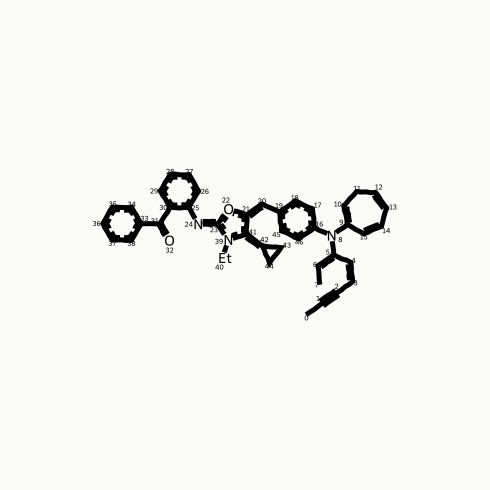 CC#C/C=C\C(=C/C)N(C1=CCC=CC=C1)c1ccc(/C=c2/o/c(=N\c3ccccc3C(=O)c3ccccc3)n(CC)c2=C2CC2)cc1